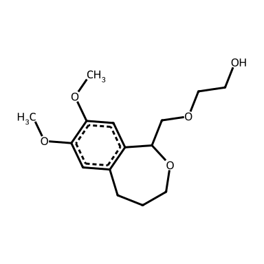 COc1cc2c(cc1OC)C(COCCO)OCCC2